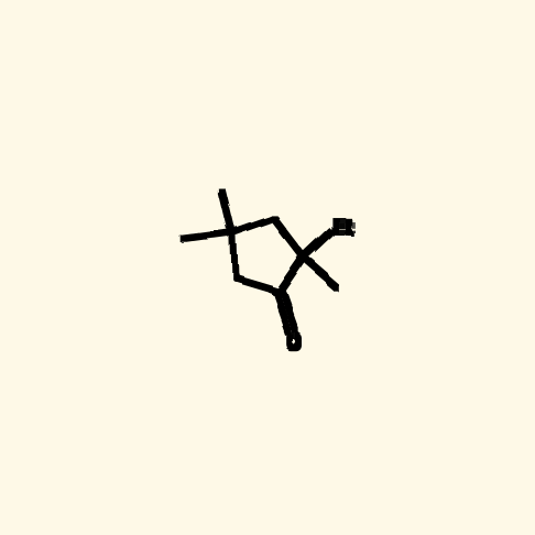 CCC1(C)CC(C)(C)CC1=O